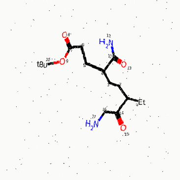 CCC(CCC(CCC(=O)OC(C)(C)C)C(N)=O)C(=O)CN